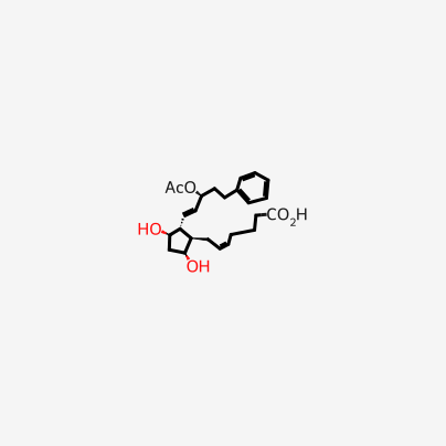 CC(=O)O[C@H](/C=C/[C@@H]1[C@@H](C/C=C\CCCC(=O)O)[C@@H](O)C[C@H]1O)CCc1ccccc1